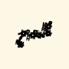 Cc1ccc(C(=O)Nc2ccc(N3CCC(N(C)Cc4ccccc4NC4CCC(=O)NC4=O)CC3)c(C(F)(F)F)c2)cc1C#Cc1cnc2cccnn12